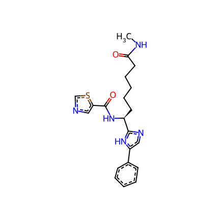 CNC(=O)CCCCC[C@H](NC(=O)c1cncs1)c1ncc(-c2ccccc2)[nH]1